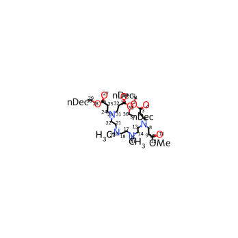 CCCCCCCCCCCOC(=O)CCN(CCC(=O)OC)CCN(C)CCN(C)CCN(CCC(=O)OCCCCCCCCCCC)CCC(=O)OCCCCCCCCCCC